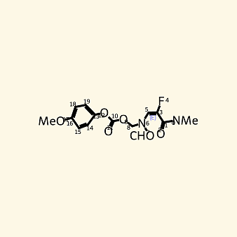 CNC(=O)/C(F)=C\N(C=O)COC(=O)Oc1ccc(OC)cc1